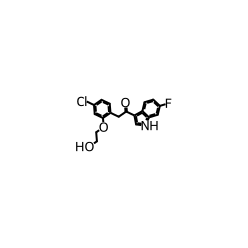 O=C(Cc1ccc(Cl)cc1OCCO)c1c[nH]c2cc(F)ccc12